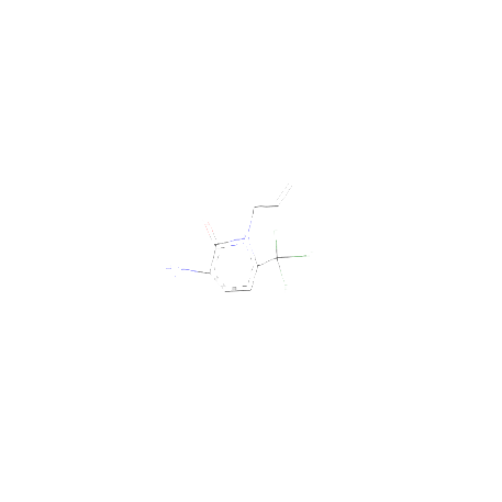 C=CCn1c(C(F)(F)F)ccc(N)c1=O